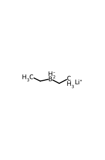 CC[BH2-]CC.[Li+]